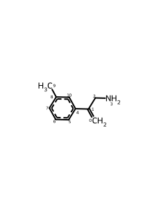 C=C(CN)c1cccc(C)c1